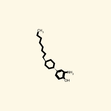 CCCCCCCC[C@H]1CC[C@H](c2ccc(O)c(N)c2)CC1